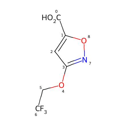 O=C(O)c1cc(OCC(F)(F)F)no1